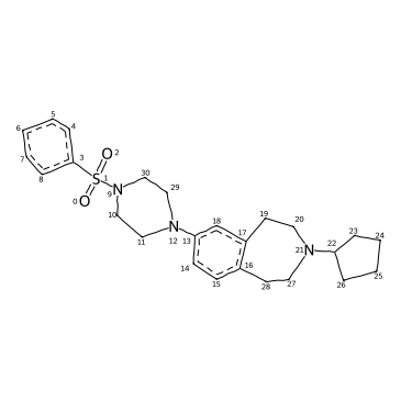 O=S(=O)(c1ccccc1)N1CCN(c2ccc3c(c2)CCN(C2CCCC2)CC3)CC1